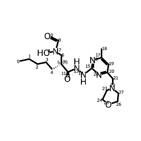 CCCCC[C@H](CN(O)C=O)C(=O)NNc1nc(C)cc(CN2CCOCC2)n1